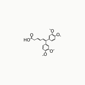 COc1ccc(C(=C/C=C/CC(=O)O)c2ccc(OC)c(OC)c2)cc1OC